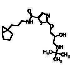 CC(C)(C)NCC(O)COc1ncc(C(=O)NCCCC23CCCC2C3)s1